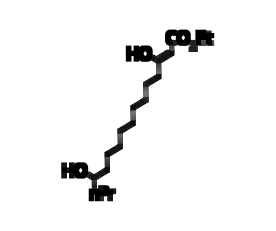 CCCC(O)CCCCCCCCCC(O)=CC(=O)OCC